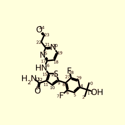 CC(C)(O)c1cc(F)c(-c2cc(C(N)=O)c(Nc3ccnc(CC=O)n3)s2)c(F)c1